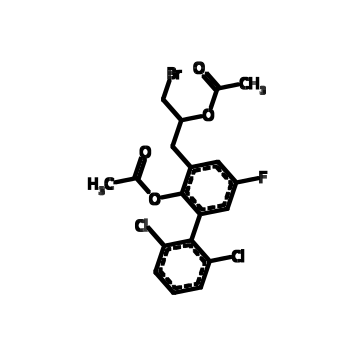 CC(=O)Oc1c(CC(CBr)OC(C)=O)cc(F)cc1-c1c(Cl)cccc1Cl